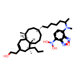 CCC[C@@]1(C)CC(CCO)=CC[C@H]2[C@@H](C)CC[C@H](CCCCCC(C)N(C)c3ccc(N(O)O)c4nonc34)CCC[C@@H]21